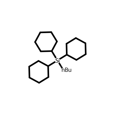 CCCC[Si](C1CCCCC1)(C1CCCCC1)C1CCCCC1